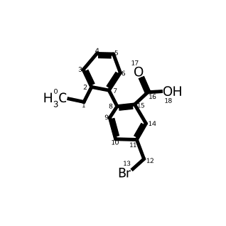 CCc1ccccc1-c1ccc(CBr)cc1C(=O)O